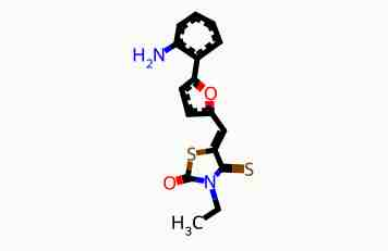 CCN1C(=O)S/C(=C\c2ccc(-c3ccccc3N)o2)C1=S